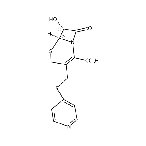 O=C(O)C1=C(CSc2ccncc2)CS[C@H]2[C@H](O)C(=O)N12